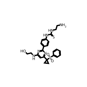 NCCNC(=S)Nc1ccc(-c2nc(NCCO)cc(C3(S(=O)(=O)c4ccccc4)CC3)n2)cc1